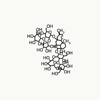 C=C1CCC2C(COC3OC(CO)C(O)C(OC4OC(CO)C(O)C(O)C4O)C3OC3OCC(O)C(O)C3O)(CCC3C(C)(C(=O)OC4OC(CO)C(O)C(OC5OC(CO)C(O)C(O)C5O)C4OC4OC(CO)C(O)C(O)C4O)CCCC23C)C1